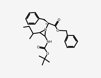 CCC(C)C1C(NC(=O)OC(C)(C)C)N1[C@@H](Cc1ccccc1)C(=O)OCc1ccccc1